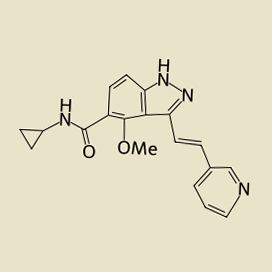 COc1c(C(=O)NC2CC2)ccc2[nH]nc(C=Cc3cccnc3)c12